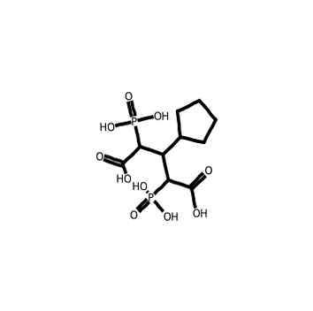 O=C(O)C(C(C1CCCC1)C(C(=O)O)P(=O)(O)O)P(=O)(O)O